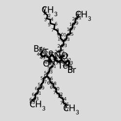 CCCCCCCCCCCCC(CCCCCCCCCC)CCCCn1c(=O)c(-c2ccc(Br)[te]2)cc2c1cc(-c1ccc(Br)[te]1)c(=O)n2CCCCC(CCCCCCCCCC)CCCCCCCCCCCC